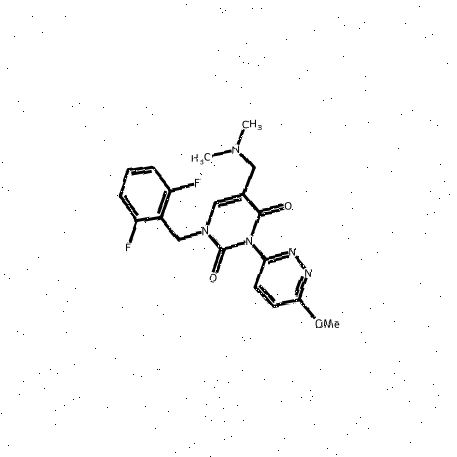 COc1ccc(-n2c(=O)c(CN(C)C)cn(Cc3c(F)cccc3F)c2=O)nn1